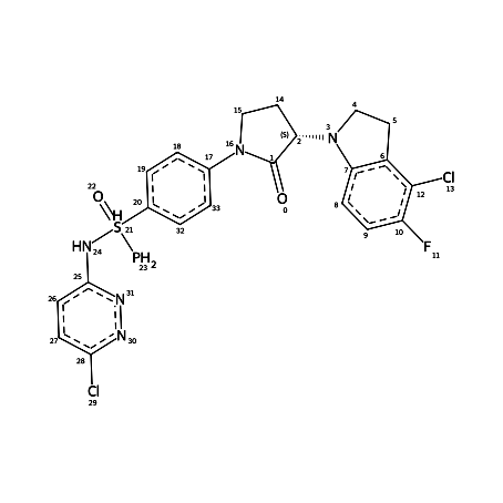 O=C1[C@@H](N2CCc3c2ccc(F)c3Cl)CCN1c1ccc([SH](=O)(P)Nc2ccc(Cl)nn2)cc1